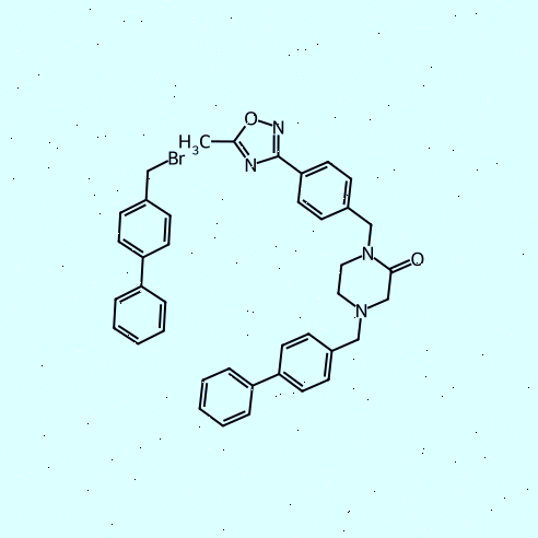 BrCc1ccc(-c2ccccc2)cc1.Cc1nc(-c2ccc(CN3CCN(Cc4ccc(-c5ccccc5)cc4)CC3=O)cc2)no1